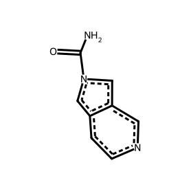 NC(=O)n1cc2ccncc2c1